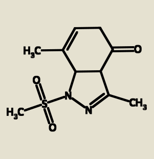 CC1=CCC(=O)C2C(C)=NN(S(C)(=O)=O)C12